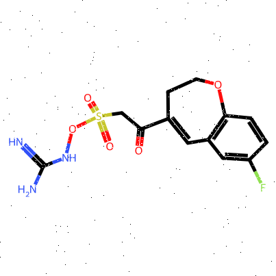 N=C(N)NOS(=O)(=O)CC(=O)C1=Cc2cc(F)ccc2OCC1